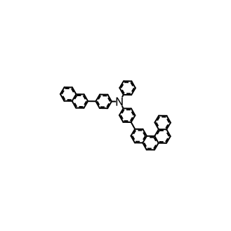 c1ccc(N(c2ccc(-c3ccc4ccccc4c3)cc2)c2ccc(-c3ccc4ccc5ccc6ccccc6c5c4c3)cc2)cc1